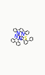 c1ccc(-c2cccc3c2sc2c(-n4c5ccccc5c5ccc6c7ccccc7n(-c7cnc8c9ccccc9c9ccccc9c8n7)c6c54)cccc23)cc1